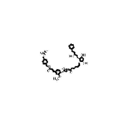 COc1cc(/C=C/C(=O)OCc2ccc(CO[N+](=O)[O-])cc2)ccc1OC(=O)CNC(=O)CCC/C=C\C[C@@H]1[C@@H](CC[C@@H](O)CCc2ccccc2)[C@H](O)C[C@@H]1O